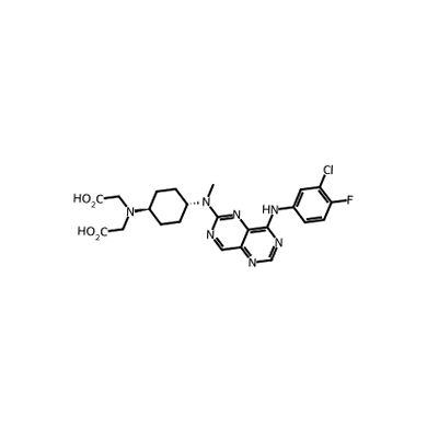 CN(c1ncc2ncnc(Nc3ccc(F)c(Cl)c3)c2n1)[C@H]1CC[C@H](N(CC(=O)O)CC(=O)O)CC1